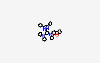 c1ccc(-c2cc(-c3ccccc3)nc(-c3cc(N(c4ccccc4)c4ccccc4)cc(-n4c5ccccc5c5c6oc7ccccc7c6ccc54)c3)n2)cc1